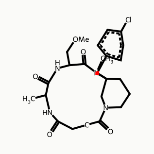 COCC1NC(=O)C(C)NC(=O)CCC(=O)N2CCCC(Cc3ccc(Cl)cc3)(C2)N(C)C1=O